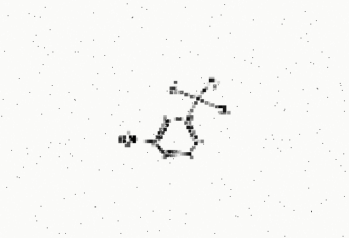 CC(=O)C(Cl)(Cl)c1cccc([N+](=O)[O-])c1